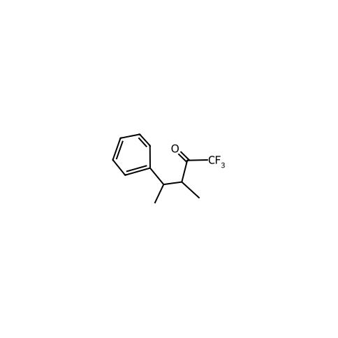 CC(C(=O)C(F)(F)F)C(C)c1ccccc1